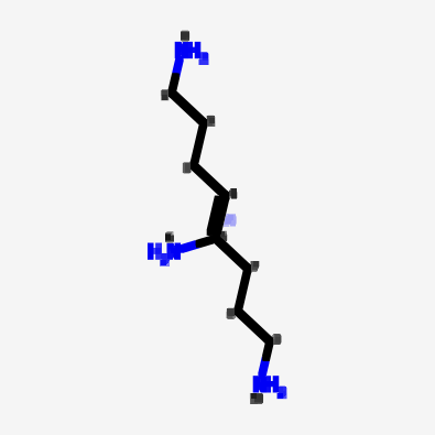 NCCC/C=C(\N)CCCN